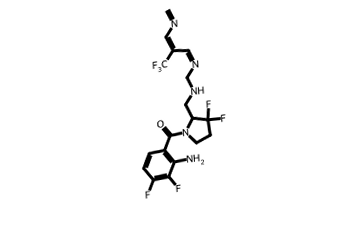 C=N/C=C(\C=N/CNCC1N(C(=O)c2ccc(F)c(F)c2N)CCC1(F)F)C(F)(F)F